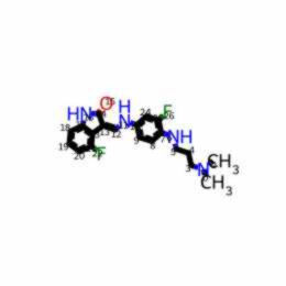 CN(C)CCCNc1ccc(N/C=C2\C(=O)Nc3cccc(F)c32)cc1F